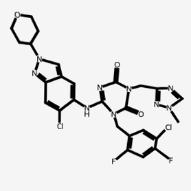 Cn1cnc(Cn2c(=O)nc(Nc3cc4cn(C5CCOCC5)nc4cc3Cl)n(Cc3cc(Cl)c(F)cc3F)c2=O)n1